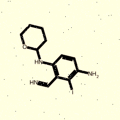 N=Cc1c(NC2CCCCO2)ccc(N)c1I